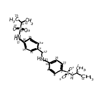 CC(C)NS(=O)(=O)c1ccc(NCc2ccc(NS(=O)(=O)C(C)C)cc2)cc1